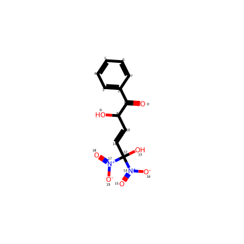 O=C(c1ccccc1)C(O)C=CC(O)([N+](=O)[O-])[N+](=O)[O-]